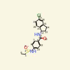 CC[S+]([O-])Nc1ccc(C(=O)NC2CCc3cc(Cl)ccc32)cc1